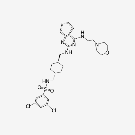 O=S(=O)(NC[C@H]1CC[C@H](CNc2nc(NCCN3CCOCC3)c3ccccc3n2)CC1)c1cc(Cl)cc(Cl)c1